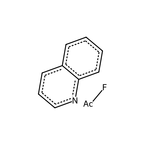 CC(=O)F.c1ccc2ncccc2c1